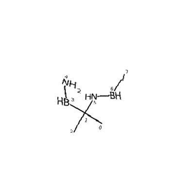 CC(C)(BN)NBI